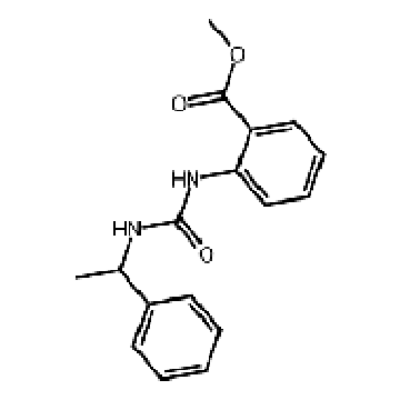 COC(=O)c1ccccc1NC(=O)NC(C)c1ccccc1